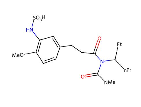 CCCC(CC)N(C(=O)CCc1ccc(OC)c(NS(=O)(=O)O)c1)C(=O)NC